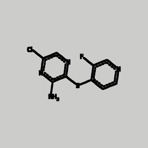 Nc1nc(Cl)cnc1Sc1ccncc1F